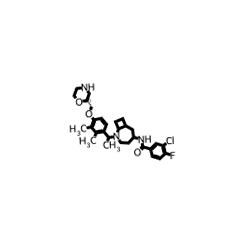 Cc1c(OC[C@H]2CNCCO2)ccc(C(C)N2CCC(NC(=O)c3ccc(F)c(Cl)c3)CC3CCC32)c1C